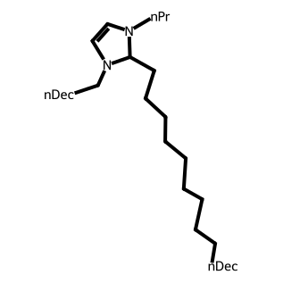 CCCCCCCCCCCCCCCCCCCC1N(CCC)C=CN1CCCCCCCCCCC